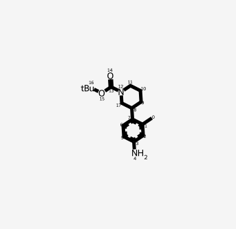 Cc1cc(N)ccc1C1CCCN(C(=O)OC(C)(C)C)C1